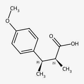 COc1ccc([C@H](C)[C@H](C)C(=O)O)cc1